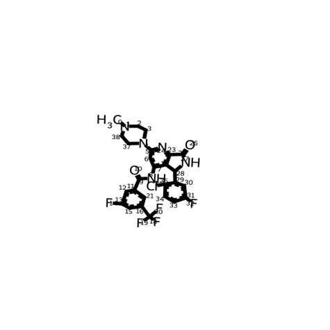 CN1CCN(c2cc(NC(=O)c3cc(F)cc(C(F)(F)F)c3)c3c(n2)C(=O)NC3c2cc(F)ccc2Cl)CC1